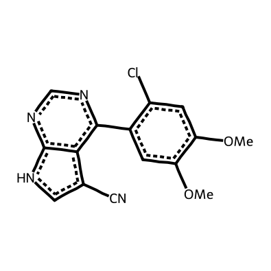 COc1cc(Cl)c(-c2ncnc3[nH]cc(C#N)c23)cc1OC